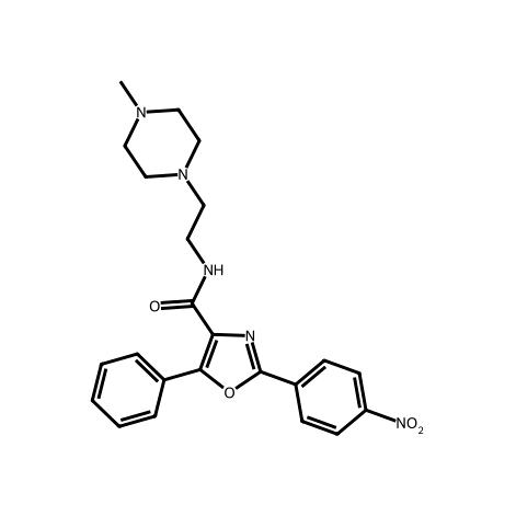 CN1CCN(CCNC(=O)c2nc(-c3ccc([N+](=O)[O-])cc3)oc2-c2ccccc2)CC1